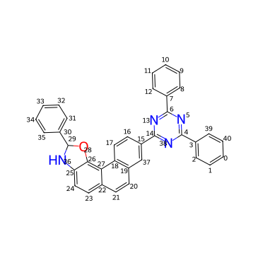 c1ccc(-c2nc(-c3ccccc3)nc(-c3ccc4c(ccc5ccc6c(c54)OC(c4ccccc4)N6)c3)n2)cc1